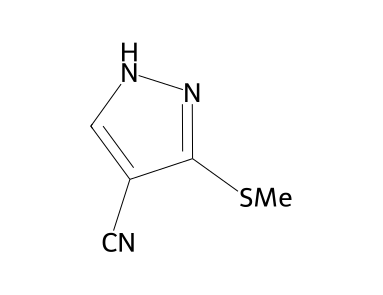 CSc1n[nH]cc1C#N